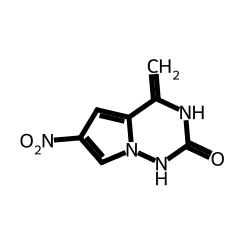 C=C1NC(=O)Nn2cc([N+](=O)[O-])cc21